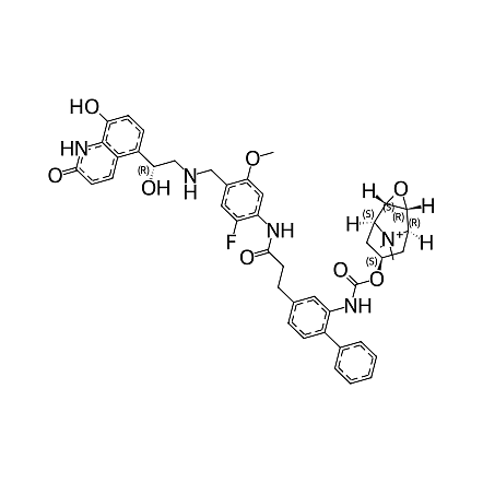 COc1cc(NC(=O)CCc2ccc(-c3ccccc3)c(NC(=O)O[C@@H]3C[C@@H]4[C@H]5O[C@H]5[C@H](C3)[N+]4(C)C)c2)c(F)cc1CNC[C@H](O)c1ccc(O)c2[nH]c(=O)ccc12